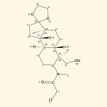 CN(C(=O)CCl)C1CC[C@@H]2[C@H](CC[C@@]3(C)[C@H]2CCC32OCCO2)[C@@]1(C)CO